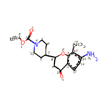 CC(C)(C)OC(=O)N1CCC(C2CC(=O)c3ccc(N)c([N+](=O)[O-])c3O2)CC1